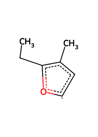 CCc1o[c]cc1C